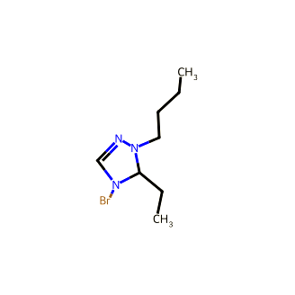 CCCCN1N=CN(Br)C1CC